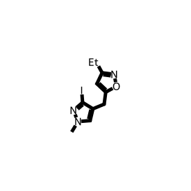 CCc1cc(Cc2cn(C)nc2I)on1